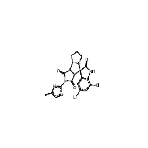 Cc1csc(N2C(=O)C3C4CCCN4C4(C(=O)Nc5c(Cl)cc(Cl)cc54)C3C2=O)n1